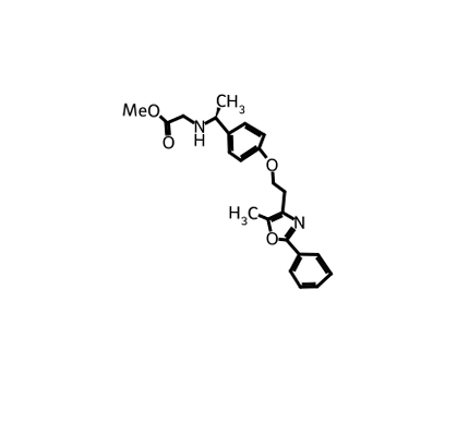 COC(=O)CN[C@@H](C)c1ccc(OCCc2nc(-c3ccccc3)oc2C)cc1